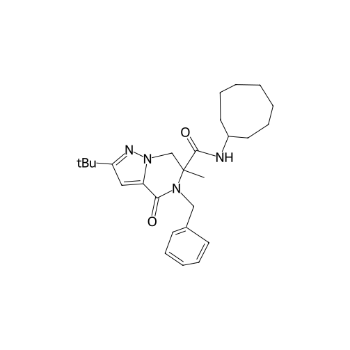 CC(C)(C)c1cc2n(n1)CC(C)(C(=O)NC1CCCCCCC1)N(Cc1ccccc1)C2=O